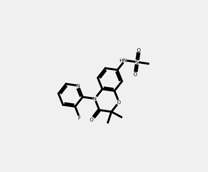 CC1(C)Oc2cc(NS(C)(=O)=O)ccc2N(c2ncccc2F)C1=O